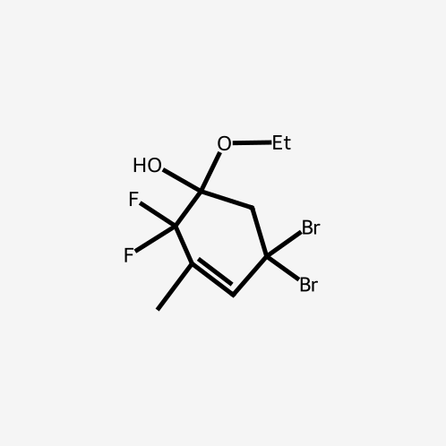 CCOC1(O)CC(Br)(Br)C=C(C)C1(F)F